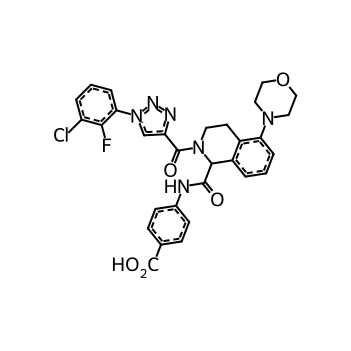 O=C(O)c1ccc(NC(=O)C2c3cccc(N4CCOCC4)c3CCN2C(=O)c2cn(-c3cccc(Cl)c3F)nn2)cc1